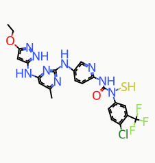 CCOc1cc(Nc2cc(C)nc(Nc3ccc(NC(=O)N(S)c4ccc(Cl)c(C(F)(F)F)c4)nc3)n2)[nH]n1